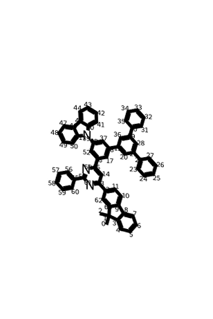 CC1(C)c2ccccc2-c2ccc(-c3cc(-c4cc(-c5cc(-c6ccccc6)cc(-c6ccccc6)c5)cc(-n5c6ccccc6c6ccccc65)c4)nc(-c4ccccc4)n3)cc21